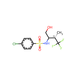 C[C@@H](C(CO)NS(=O)(=O)c1ccc(Cl)cc1)C(F)(F)F